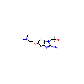 CN(C)CCOc1ccc2c(c1)nc(N)n2CC(C)(C)O